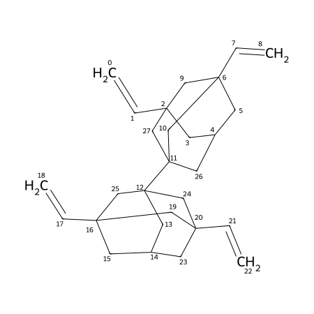 C=CC12CC3CC(C=C)(C1)CC(C14CC5CC(C=C)(CC(C=C)(C5)C1)C4)(C3)C2